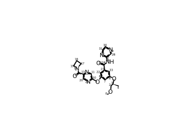 COC[C@H](C)Oc1cc(Oc2cnc(C(=O)N3CCC3)cn2)cc(C(=O)Nc2cnccn2)c1